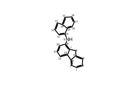 c1ccc2c(c1)Cc1c(Nc3cccc4ccccc34)cccc1-2